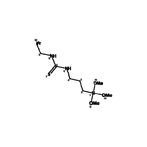 CO[Si](CCCNC(=S)NCC(C)C)(OC)OC